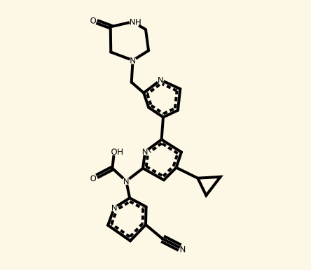 N#Cc1ccnc(N(C(=O)O)c2cc(C3CC3)cc(-c3ccnc(CN4CCNC(=O)C4)c3)n2)c1